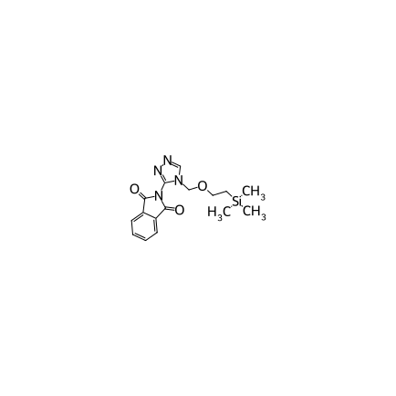 C[Si](C)(C)CCOCn1cnnc1N1C(=O)c2ccccc2C1=O